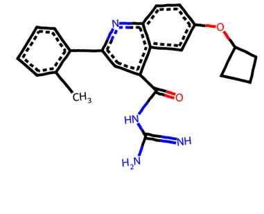 Cc1ccccc1-c1cc(C(=O)NC(=N)N)c2cc(OC3CCC3)ccc2n1